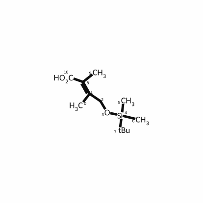 C/C(CO[Si](C)(C)C(C)(C)C)=C(/C)C(=O)O